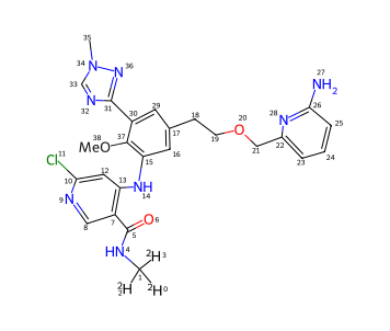 [2H]C([2H])([2H])NC(=O)c1cnc(Cl)cc1Nc1cc(CCOCc2cccc(N)n2)cc(-c2ncn(C)n2)c1OC